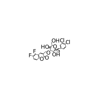 O=c1oc2ccc(F)c(F)c2cc1COC1C(O)[C@H](Sc2ccc(Cl)c(Cl)c2)OC(CO)[C@@H]1O